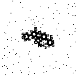 NC1=N[C@@]2(CO1)c1cc(-c3cccnc3F)ccc1Oc1c(F)cc(C3CCOCC3)cc12